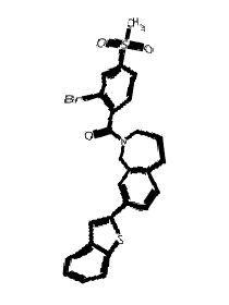 CS(=O)(=O)c1ccc(C(=O)N2CCCc3ccc(-c4cc5ccccc5s4)cc3C2)c(Br)c1